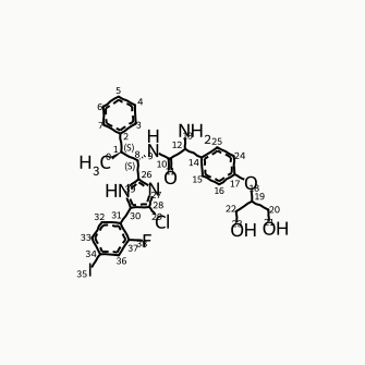 C[C@@H](c1ccccc1)[C@H](NC(=O)C(N)c1ccc(OC(CO)CO)cc1)c1nc(Cl)c(-c2ccc(I)cc2F)[nH]1